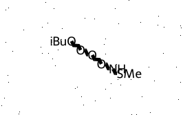 CSCNCCOCCOCCOCCOCC(C)C